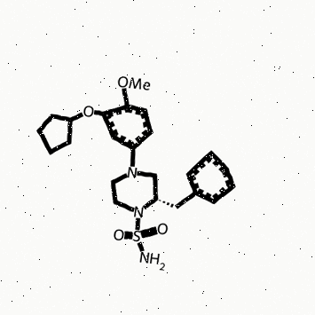 COc1ccc(N2CCN(S(N)(=O)=O)[C@@H](Cc3ccccc3)C2)cc1OC1CCCC1